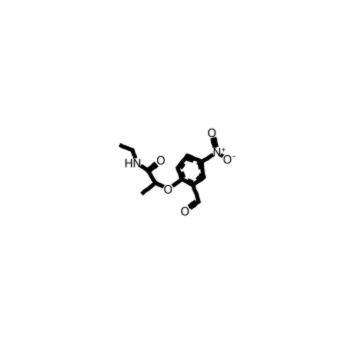 CCNC(=O)C(C)Oc1ccc([N+](=O)[O-])cc1C=O